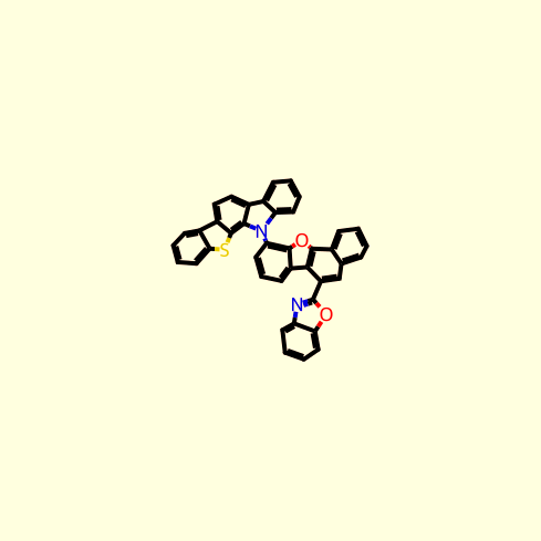 c1ccc2c(c1)cc(-c1nc3ccccc3o1)c1c3cccc(-n4c5ccccc5c5ccc6c7ccccc7sc6c54)c3oc21